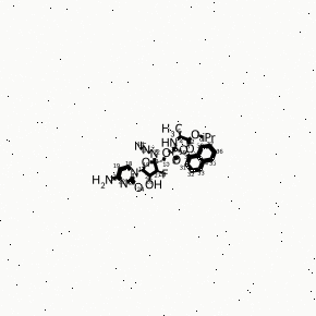 CC(C)OC(=O)[C@H](C)NP(=O)(OC[C@@]1(N=[N+]=[N-])O[C@@H](n2ccc(N)nc2=O)[C@H](O)[C@@H]1F)Oc1cccc2ccccc12